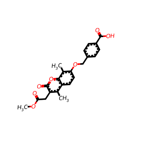 COC(=O)Cc1c(C)c2ccc(OCc3ccc(C(=O)O)cc3)c(C)c2oc1=O